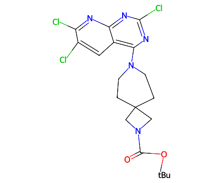 CC(C)(C)OC(=O)N1CC2(CCN(c3nc(Cl)nc4nc(Cl)c(Cl)cc34)CC2)C1